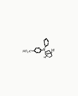 CN1[C@@H]2CC[C@H]1C[C@@H](N(c1ccccc1)c1ccc(C(=O)O)cc1)C2